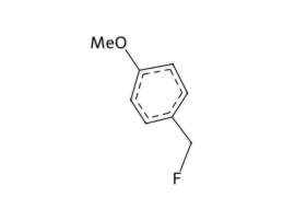 [CH2]Oc1ccc(CF)cc1